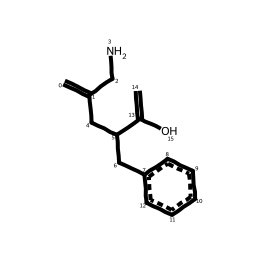 C=C(CN)CC(Cc1ccccc1)C(=C)O